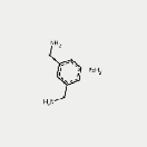 NCc1cccc(CN)c1.[PbH2]